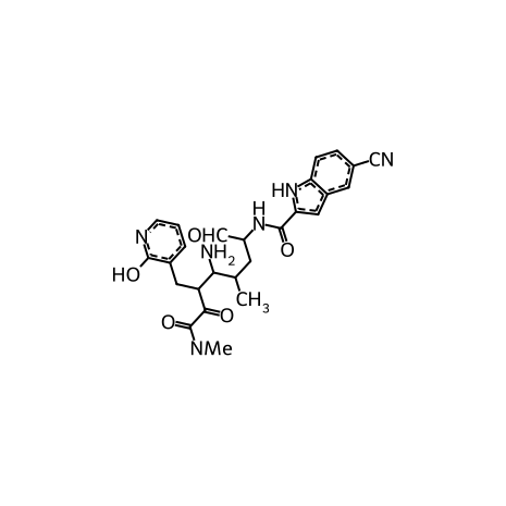 CNC(=O)C(=O)C(Cc1cccnc1O)C(N)C(C)CC(C=O)NC(=O)c1cc2cc(C#N)ccc2[nH]1